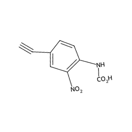 C#Cc1ccc(NC(=O)O)c([N+](=O)[O-])c1